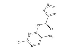 CC[C@@H](Nc1nc(Cl)ncc1[N+](=O)[O-])c1nnco1